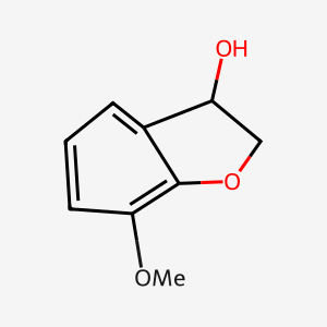 COc1cccc2c1OCC2O